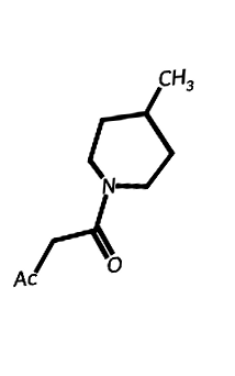 CC(=O)CC(=O)N1CCC(C)CC1